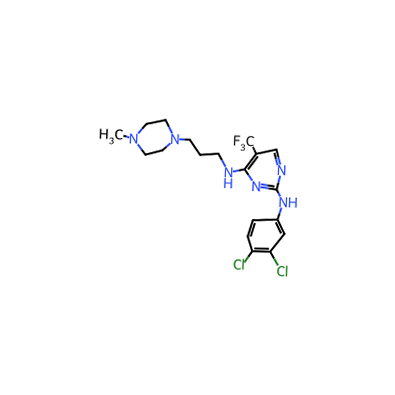 CN1CCN(CCCNc2nc(Nc3ccc(Cl)c(Cl)c3)ncc2C(F)(F)F)CC1